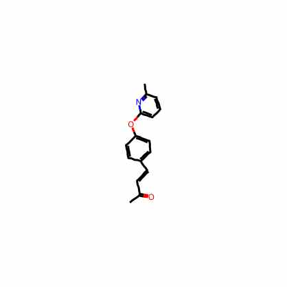 CC(=O)/C=C/c1ccc(Oc2cccc(C)n2)cc1